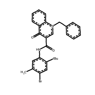 Cc1cc(NC(=O)c2cn(Cc3ccccc3)c3ccccc3c2=O)c(C(C)(C)C)cc1Br